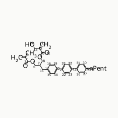 C=C(C)C(=O)OCC(COC(=O)C(=C)CO)Cc1ccc(-c2ccc(-c3ccc(CCCCC)cc3)cc2)cc1